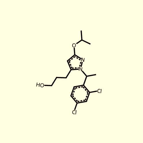 CC(C)Oc1cc(CCCO)n(C(C)c2ccc(Cl)cc2Cl)n1